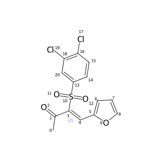 CC(=O)/C(=C/c1ccco1)S(=O)(=O)c1ccc(Cl)c(Cl)c1